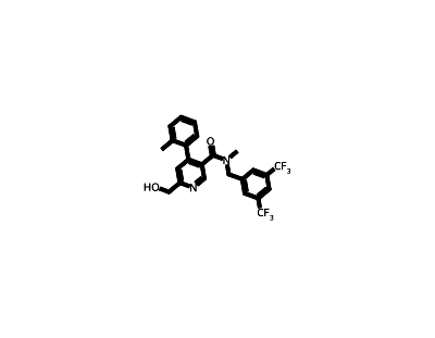 Cc1ccccc1-c1cc(CO)ncc1C(=O)N(C)Cc1cc(C(F)(F)F)cc(C(F)(F)F)c1